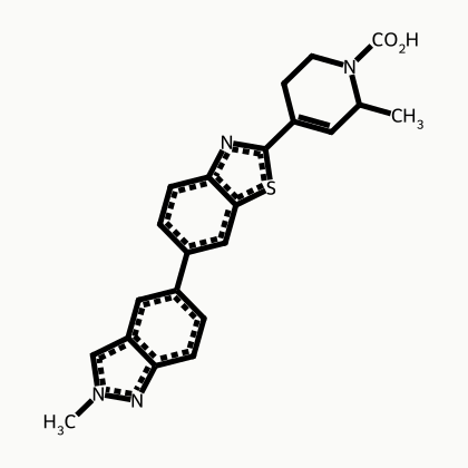 CC1C=C(c2nc3ccc(-c4ccc5nn(C)cc5c4)cc3s2)CCN1C(=O)O